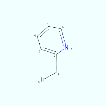 [Ir][CH2]c1ccccn1